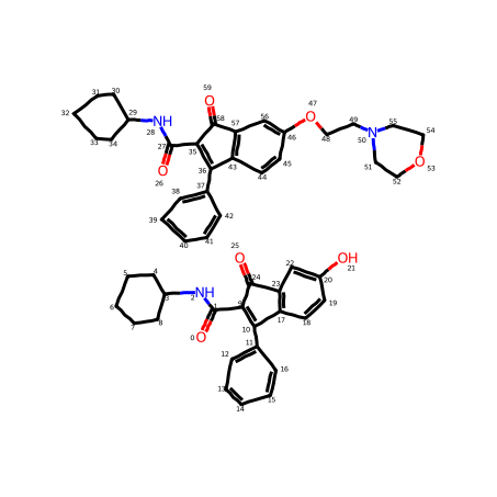 O=C(NC1CCCCC1)C1=C(c2ccccc2)c2ccc(O)cc2C1=O.O=C(NC1CCCCC1)C1=C(c2ccccc2)c2ccc(OCCN3CCOCC3)cc2C1=O